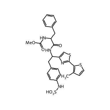 COC(=O)NC(Cc1ccccc1)C(=O)NC(Cc1ccc(NS(=O)(=O)O)cc1)c1csc(-c2sccc2C)n1